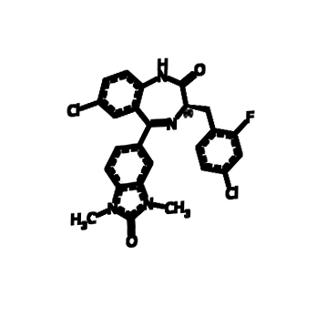 Cn1c(=O)n(C)c2cc(C3=N[C@H](Cc4ccc(Cl)cc4F)C(=O)Nc4ccc(Cl)cc43)ccc21